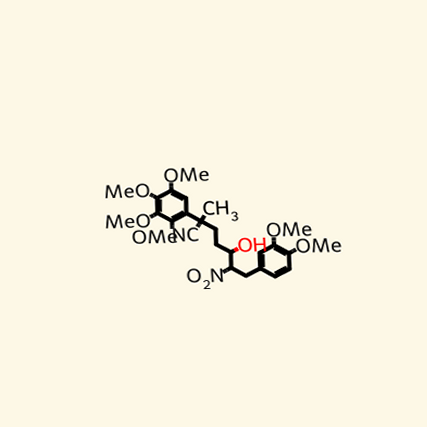 COc1ccc(CC(C(O)CCC(C)(C#N)c2cc(OC)c(OC)c(OC)c2OC)[N+](=O)[O-])cc1OC